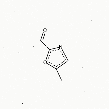 Cc1cnc(C=O)o1